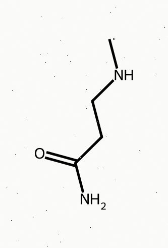 [CH2]NCCC(N)=O